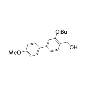 COc1ccc(-c2ccc(CO)c(OCC(C)C)c2)cc1